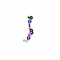 CN1CCN(C(=O)Oc2ccc3ccc(OCCCCN4CCN(c5cccc6sccc56)CC4)cc3n2)CC1